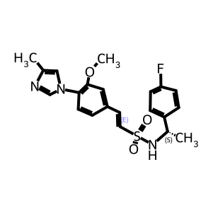 COc1cc(/C=C/S(=O)(=O)N[C@@H](C)c2ccc(F)cc2)ccc1-n1cnc(C)c1